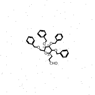 O=CCC[C@H]1OC(COCc2ccccc2)[C@H](OCc2ccccc2)[C@@H](OCc2ccccc2)C1OCc1ccccc1